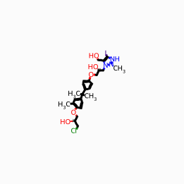 Cc1cc(C(C)(C)c2ccc(OC[C@H](O)CN3C(CO)=C(I)NN3C)cc2)ccc1OC[C@H](O)CCl